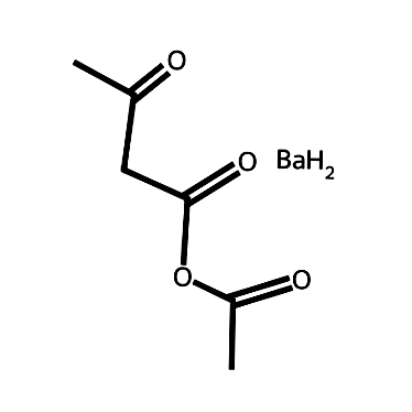 CC(=O)CC(=O)OC(C)=O.[BaH2]